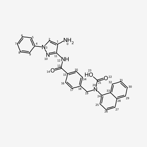 Nc1cn(-c2ccccc2)nc1NC(=O)c1ccc(CN(C(=O)O)c2cccc3ccccc23)cc1